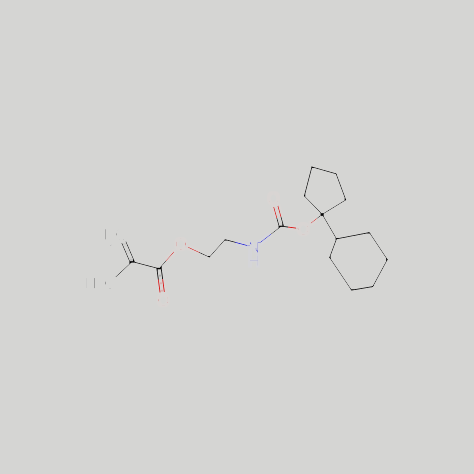 C=C(C)C(=O)OCCNC(=O)OC1(C2CCCCC2)CCCC1